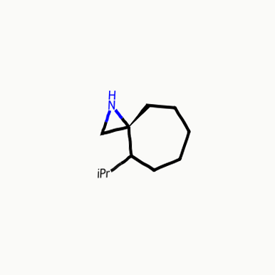 CC(C)C1CCCCC[C@]12CN2